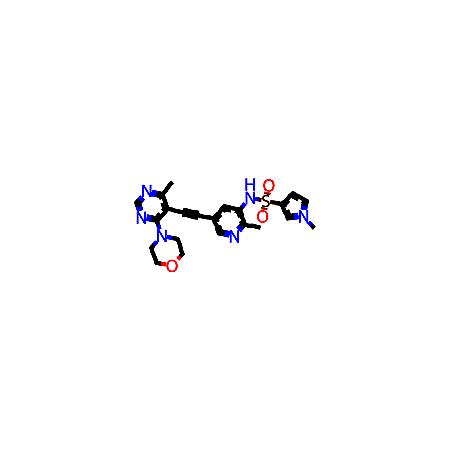 Cc1ncc(C#Cc2c(C)ncnc2N2CCOCC2)cc1NS(=O)(=O)c1ccn(C)c1